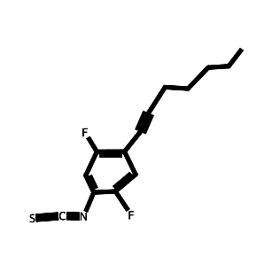 CCCCCC#Cc1cc(F)c(N=C=S)cc1F